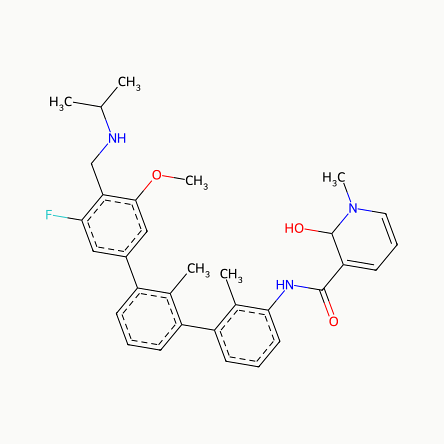 COc1cc(-c2cccc(-c3cccc(NC(=O)C4=CC=CN(C)C4O)c3C)c2C)cc(F)c1CNC(C)C